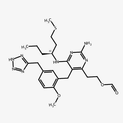 CCC[C@@H](CCSC)Nc1nc(N)nc(CCOC=O)c1Cc1cc(Cc2nn[nH]n2)ccc1OC